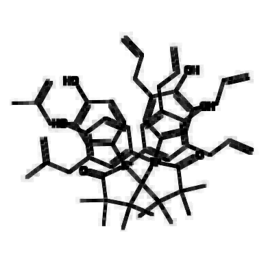 C=CCc1cc([N+]2(c3ccc(O)c(CC(=C)C)c3)C(=O)C(C)(C)C(C)(C)C23C(C)(C)C(C)(C)C(=O)[N+]3(c2ccc(O)c(CC(=C)C)c2)c2cc(CC=C)c(O)c(CC=C)c2)cc(CC=C)c1O